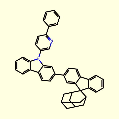 c1ccc(-c2ccc(-n3c4ccccc4c4ccc(-c5ccc6c(c5)C5(c7ccccc7-6)C6CC7CC(C6)CC5C7)cc43)cn2)cc1